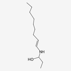 CCCCCCCC=CNC(O)CC